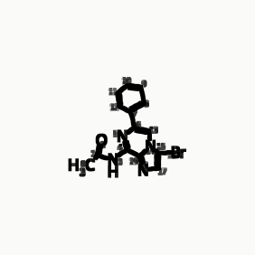 CC(=O)Nc1nc(-c2ccccc2)cn2c(Br)cnc12